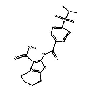 CNC(=O)c1c(NC(=O)c2ccc(S(=O)(=O)N(C)C)cc2)sc2c1CCCC2